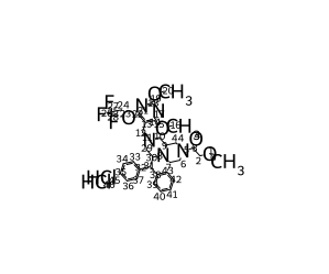 COCC(=O)N1CCN2C(CN(Cc3c(OC)nc(OC)nc3OCC(F)(F)F)CC2C(c2ccccc2)c2ccccc2)C1.Cl.Cl